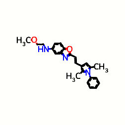 COCCNc1ccc2oc(C=Cc3cc(C)n(-c4ccccc4)c3C)nc2c1